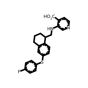 O=C(O)c1ccncc1NCC1CCCc2cc(Sc3ccc(F)cc3)ccc21